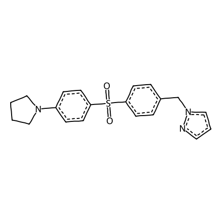 O=S(=O)(c1ccc(Cn2cccn2)cc1)c1ccc(N2CCCC2)cc1